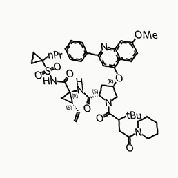 C=C[C@@H]1C[C@]1(NC(=O)[C@@H]1C[C@@H](Oc2cc(-c3ccccc3)nc3cc(OC)ccc23)CN1C(=O)C(CC(=O)N1CCCCC1)C(C)(C)C)C(=O)NS(=O)(=O)C1(CCC)CC1